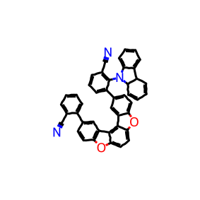 N#Cc1ccccc1-c1ccc2oc3ccc4oc5ccc(-c6cccc(C#N)c6N6c7ccccc7C7C=CC=CC76)cc5c4c3c2c1